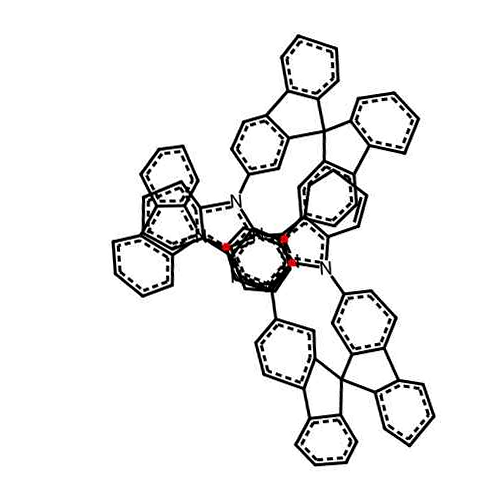 C1=Cc2c(c3ccccc3n2-c2ccc3c(c2)C2(c4ccccc4-c4ccc(-c5nc(-c6ccc7c(c6)C6(c8ccccc8-7)c7ccccc7-c7ccc(-n8c9ccccc9c9ccccc98)cc76)nc(-n6c7ccccc7c7ccccc76)n5)cc42)c2ccccc2-3)CC1